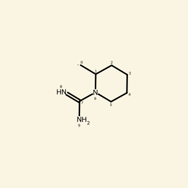 [CH2]C1CCCCN1C(=N)N